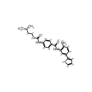 CN(C)CCOC(=O)Nc1ccc(C(=O)Nc2cc(-c3cccs3)ccc2N)cc1